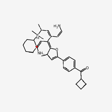 CC1C=C(c2ccc(C(=O)C3CCC3)cc2)O/C1=C(/C=C\N)C(\C=C/N)=C/C(C)[PH](C)(C)C1CCCCO1